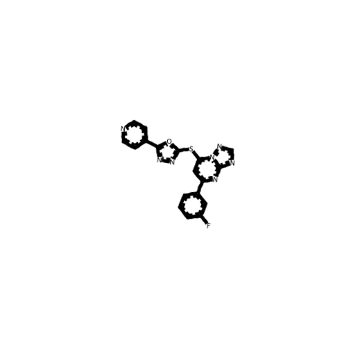 Fc1cccc(-c2cc(Sc3nnc(-c4ccncc4)o3)n3ncnc3n2)c1